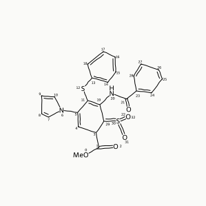 COC(=O)C1C=C(n2cccc2)C(Sc2ccccc2)=C(NC(=O)c2ccccc2)C1=S(=O)=O